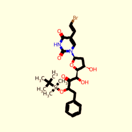 CC(C)(C)[Si](C)(C)OC(Cc1ccccc1)C(=O)C(O)[C@H]1O[C@@H](n2cc(/C=C/Br)c(=O)[nH]c2=O)C[C@@H]1O